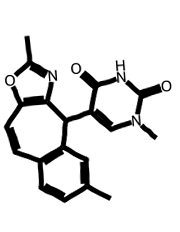 Cc1ccc2c(c1)C(c1cn(C)c(=O)[nH]c1=O)c1nc(C)oc1C=C2